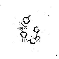 Cc1ccc(S(=O)(=O)Nc2ccc(Nc3ccn4ncc(-c5ccsc5)c4n3)cc2)cc1